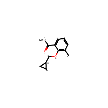 COC(=O)c1cccc(C)c1OCC1CC1